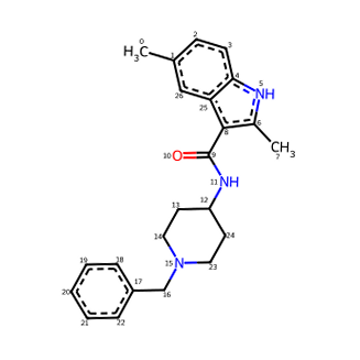 Cc1ccc2[nH]c(C)c(C(=O)NC3CCN(Cc4ccccc4)CC3)c2c1